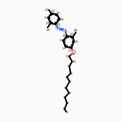 CCCCCCCCCCCCOc1ccc(/N=N/c2ccc(C)cc2C)c(C)c1